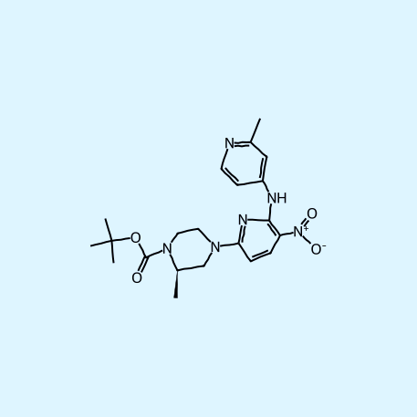 Cc1cc(Nc2nc(N3CCN(C(=O)OC(C)(C)C)[C@H](C)C3)ccc2[N+](=O)[O-])ccn1